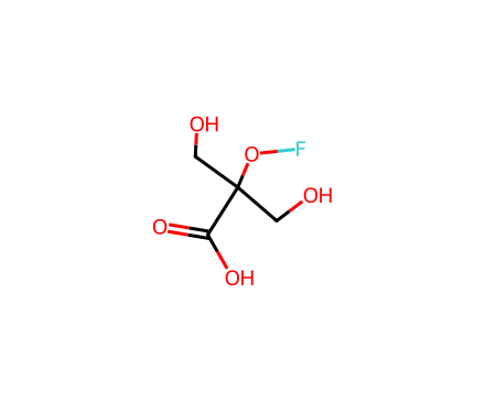 O=C(O)C(CO)(CO)OF